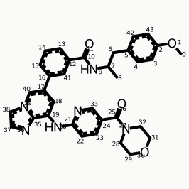 COc1ccc(CC(C)NC(=O)c2cccc(-c3cc(Nc4ccc(C(=O)N5CCOCC5)cn4)c4nccn4c3)c2)cc1